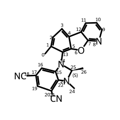 Cc1ccc2c(oc3ncccc32)c1N1c2cc(C#N)cc(C#N)c2N(C)[C@@H]1C